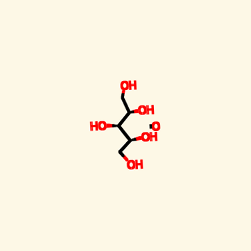 OC[C@@H](O)[C@H](O)[C@@H](O)CO.[O]